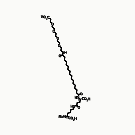 CN[C@@H](CCCCNC(=O)CC[C@H](NC(=O)CCCCCCCCCCCCCCCCC(=O)NCCOCCOCCOCCOCCC(=O)O)C(=O)O)C(=O)O